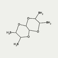 BC1OC2OC(B)C(B)OC2OC1B